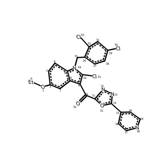 CCOc1ccc2c(c1)c(C(=O)c1nnc(-c3ccncc3)o1)c(Cl)n2Cc1ccc(Cl)cc1Cl